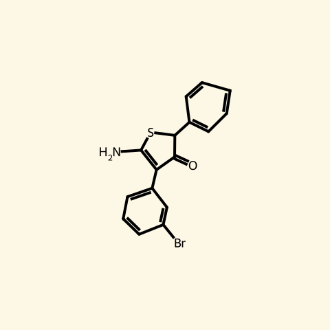 NC1=C(c2cccc(Br)c2)C(=O)C(c2ccccc2)S1